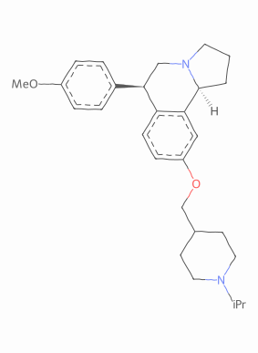 COc1ccc([C@H]2CN3CCC[C@H]3c3cc(OCC4CCN(C(C)C)CC4)ccc32)cc1